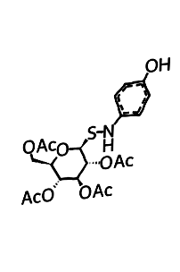 CC(=O)OC[C@H]1O[C@@H](SNc2ccc(O)cc2)[C@H](OC(C)=O)[C@@H](OC(C)=O)[C@@H]1OC(C)=O